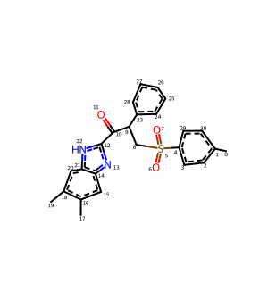 Cc1ccc(S(=O)(=O)CC(C(=O)c2nc3cc(C)c(C)cc3[nH]2)c2ccccc2)cc1